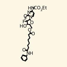 CCOC(=O)Nc1ccn(C2OC(COC(=O)CCCCCCC(=O)Nc3ccccc3)C(O)C2(F)F)c(=O)n1